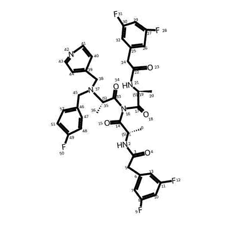 C[C@H](NC(=O)Cc1cc(F)cc(F)c1)C(=O)N(C(=O)[C@H](C)NC(=O)Cc1cc(F)cc(F)c1)C(=O)[C@H](C)N(Cc1ccncc1)Cc1ccc(F)cc1